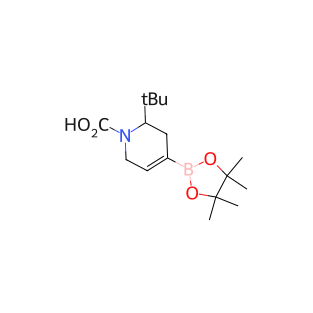 CC(C)(C)C1CC(B2OC(C)(C)C(C)(C)O2)=CCN1C(=O)O